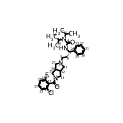 CC(C)N(C(=O)N[C@@H](CCN1CC2CN(C(=O)c3c(F)cccc3Cl)CC2C1)c1ccccc1)C(C)C